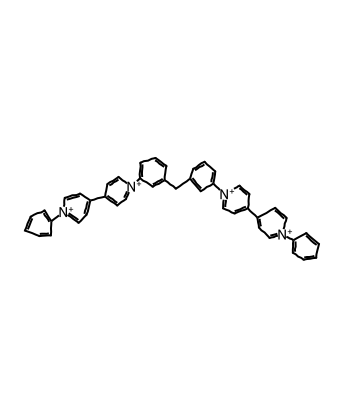 c1ccc(-[n+]2ccc(-c3cc[n+](-c4cccc(Cc5cccc(-[n+]6ccc(-c7cc[n+](-c8ccccc8)cc7)cc6)c5)c4)cc3)cc2)cc1